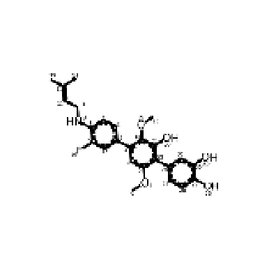 COc1cc(-c2ccc(NCC=C(C)C)c(F)c2)c(OC)c(O)c1-c1ccc(O)c(O)c1